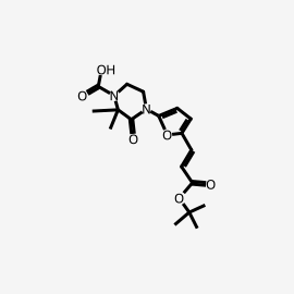 CC(C)(C)OC(=O)C=Cc1ccc(N2CCN(C(=O)O)C(C)(C)C2=O)o1